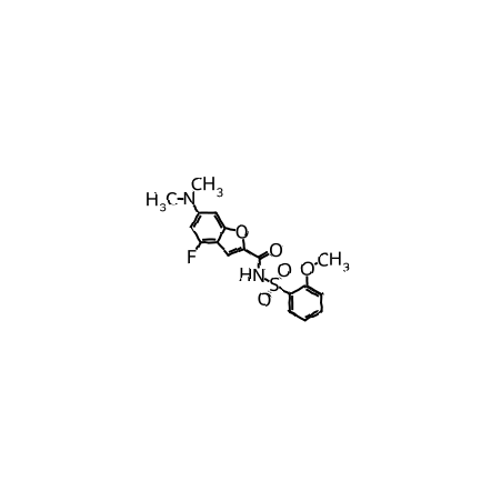 COc1ccccc1S(=O)(=O)NC(=O)c1cc2c(F)cc(N(C)C)cc2o1